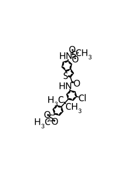 CC(C)(c1ccc(S(C)(=O)=O)cc1)c1cc(Cl)cc(NC(=O)c2cc3cc(NS(C)(=O)=O)ccc3s2)c1